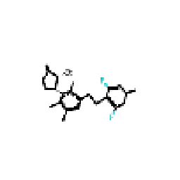 C=C1CC[C@@H](c2c(C)c(C)cc(CCC3=C(F)CC(C)C=C3F)c2C)[C@H]1CC